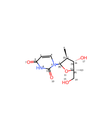 C[C@@H]1[C@H](n2ccc(=O)[nH]c2=O)O[C@](C)(CO)[C@H]1O